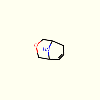 [C]1=CC2COCC(C1)N2